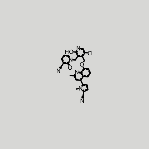 Cc1cc(-c2ccc(C#N)n2C)c2cccc(OCc3c(Cl)cnc(O)c3Cn3cccc(C#N)c3=O)c2n1